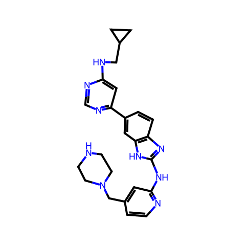 c1cc(CN2CCNCC2)cc(Nc2nc3ccc(-c4cc(NCC5CC5)ncn4)cc3[nH]2)n1